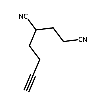 C#CCCC(C#N)CCC#N